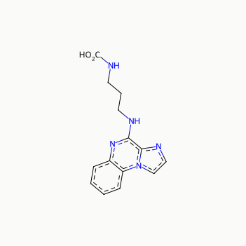 O=C(O)NCCCNc1nc2ccccc2n2ccnc12